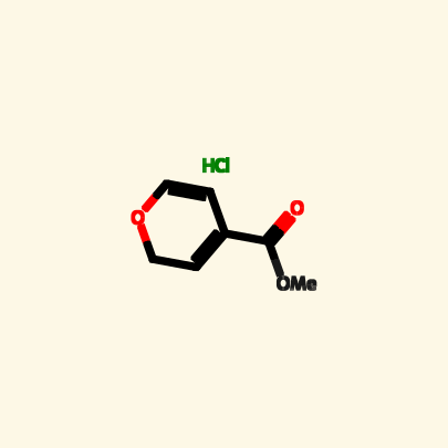 COC(=O)C1=CCOC=C1.Cl